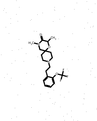 CC1OC2(CCN(CCc3ccccc3OC(F)(F)F)CC2)CN(C)C1=O